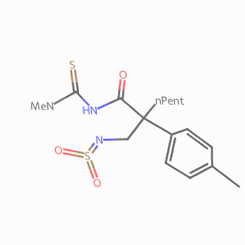 CCCCCC(CN=S(=O)=O)(C(=O)NC(=S)NC)c1ccc(C)cc1